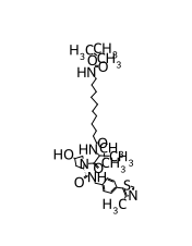 Cc1ncsc1-c1ccc(CNC(=O)[C@@H]2C[C@@H](O)CN2C(=O)[C@@H](NC(=O)CCCCCCCCCCNC(=O)OC(C)(C)C)C(C)(C)C)cc1